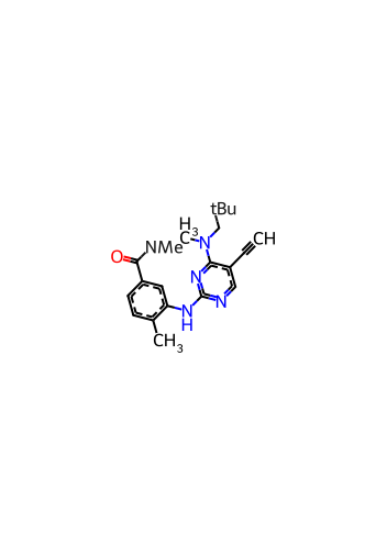 C#Cc1cnc(Nc2cc(C(=O)NC)ccc2C)nc1N(C)CC(C)(C)C